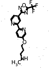 CNCCCOc1ccc(-c2cc(-c3noc(C(F)(F)F)n3)ccn2)nc1